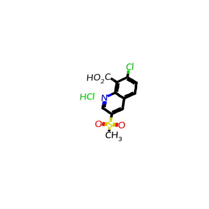 CS(=O)(=O)c1cnc2c(C(=O)O)c(Cl)ccc2c1.Cl